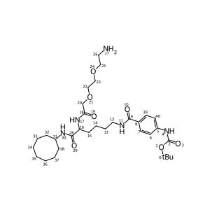 CC(C)(C)OC(=O)Nc1ccc(C(=O)NCCCCC(NC(=O)COCCOCCN)C(=O)NC2CCCCCCC2)cc1